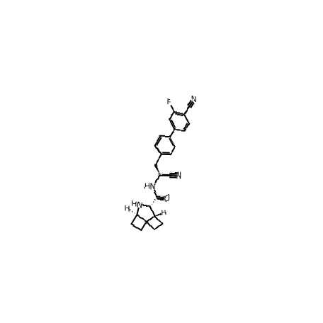 N#Cc1ccc(-c2ccc(C[C@@H](C#N)NC(=O)[C@H]3N[C@@H]4CCC45CC[C@@H]35)cc2)cc1F